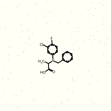 CC(C(=O)O)N(Cc1ccccc1)c1ccc(F)c(Cl)c1